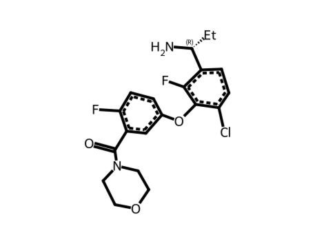 CC[C@@H](N)c1ccc(Cl)c(Oc2ccc(F)c(C(=O)N3CCOCC3)c2)c1F